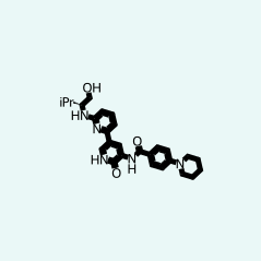 CC(C)[C@H](CO)Nc1cccc(-c2c[nH]c(=O)c(NC(=O)c3ccc(N4CCCCC4)cc3)c2)n1